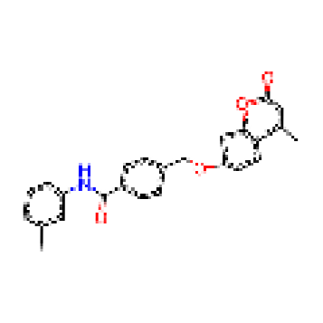 Cc1cccc(NC(=O)c2ccc(COc3ccc4c(C)cc(=O)oc4c3)cc2)c1